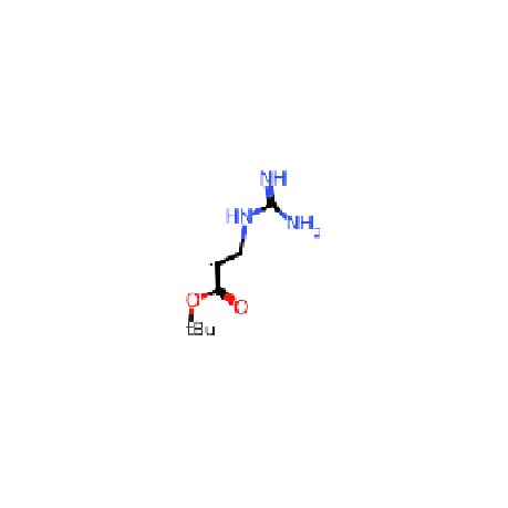 CC(C)(C)OC(=O)[CH]CNC(=N)N